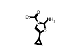 CCC(=O)N1C=C(C2CC2)SC1N